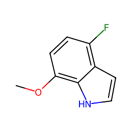 COc1ccc(F)c2cc[nH]c12